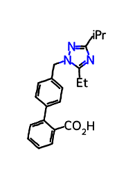 CCc1nc(C(C)C)nn1Cc1ccc(-c2ccccc2C(=O)O)cc1